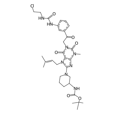 CC(C)=CCn1c(N2CCCC(NC(=O)OC(C)(C)C)C2)nc2c1c(=O)n(CC(=O)c1cccc(NC(=O)NCCCl)c1)c(=O)n2C